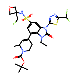 CCn1c(=O)n(-c2nnc(C(F)F)s2)c2cc(S(=O)(=O)NC3(CF)COC3)cc(C3=CC(C)N(C(=O)OC(C)(C)C)CC3)c21